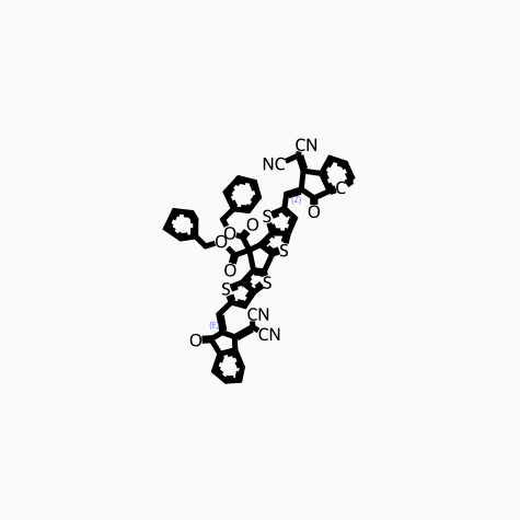 N#CC(C#N)=C1/C(=C/c2cc3sc4c(c3s2)C(C(=O)OCc2ccccc2)(C(=O)OCc2ccccc2)c2c-4sc3cc(/C=C4/C(=O)c5ccccc5C4=C(C#N)C#N)sc23)C(=O)c2ccccc21